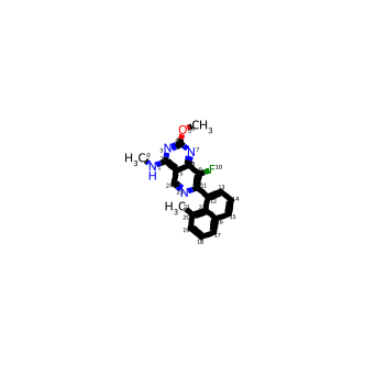 CNc1nc(OC)nc2c(F)c(-c3cccc4cccc(C)c34)ncc12